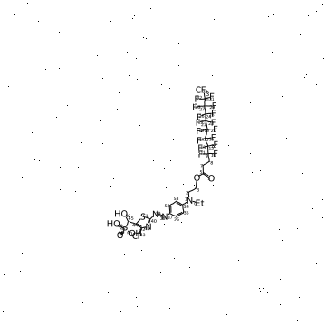 CCN(CCOC(=O)CCC(F)(F)C(F)(F)C(F)(F)C(F)(F)C(F)(F)C(F)(F)C(F)(F)C(F)(F)C(F)(F)F)c1ccc(/N=N/c2nc(Cl)c(C(O)P(=O)(O)O)s2)cc1